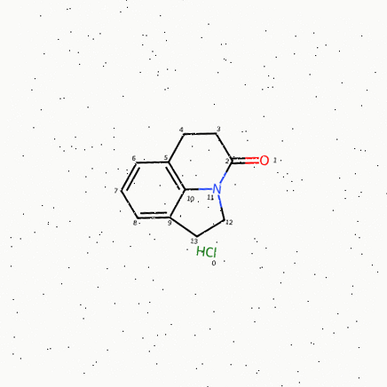 Cl.O=C1CCc2cccc3c2N1CC3